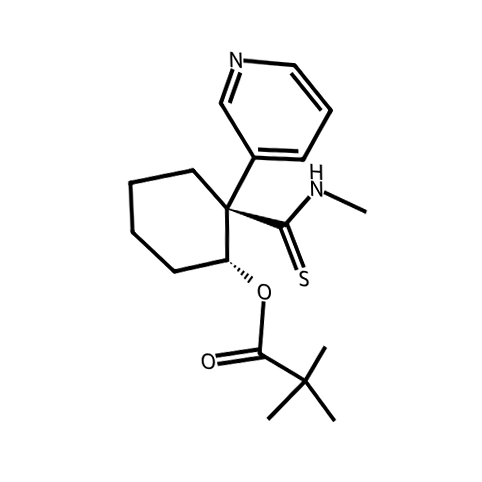 CNC(=S)[C@]1(c2cccnc2)CCCC[C@H]1OC(=O)C(C)(C)C